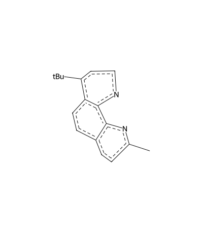 Cc1ccc2ccc3c(C(C)(C)C)ccnc3c2n1